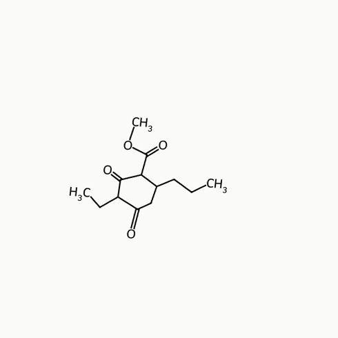 CCCC1CC(=O)C(CC)C(=O)C1C(=O)OC